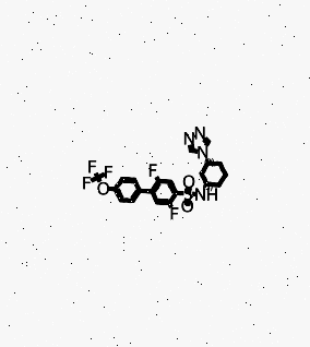 O=S(=O)(N[C@H]1CCC[C@@H](n2cnnc2)C1)c1cc(F)c(-c2ccc(OC(F)(F)F)cc2)cc1F